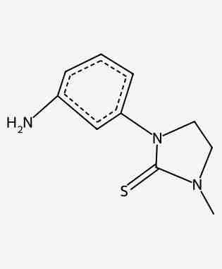 CN1CCN(c2cccc(N)c2)C1=S